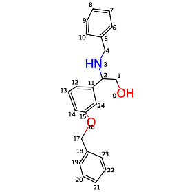 OCC(NCc1ccccc1)c1cccc(OCc2ccccc2)c1